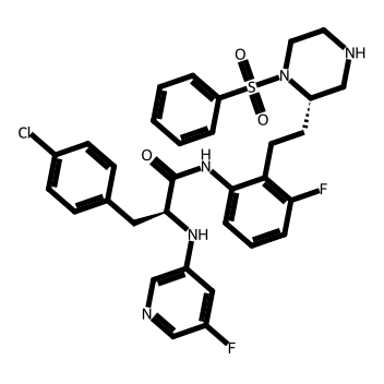 O=C(Nc1cccc(F)c1CC[C@H]1CNCCN1S(=O)(=O)c1ccccc1)[C@H](Cc1ccc(Cl)cc1)Nc1cncc(F)c1